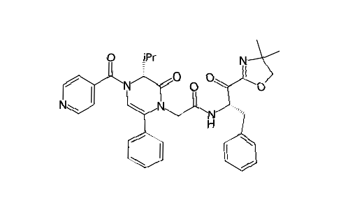 CC(C)[C@@H]1C(=O)N(CC(=O)N[C@@H](Cc2ccccc2)C(=O)C2=NC(C)(C)CO2)C(c2ccccc2)=CN1C(=O)c1ccncc1